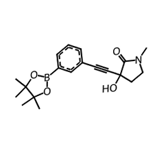 CN1CCC(O)(C#Cc2cccc(B3OC(C)(C)C(C)(C)O3)c2)C1=O